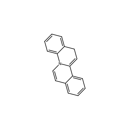 C1=CN2C(=CCc3ccccc32)c2ccccc21